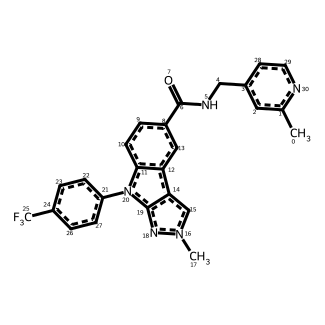 Cc1cc(CNC(=O)c2ccc3c(c2)c2cn(C)nc2n3-c2ccc(C(F)(F)F)cc2)ccn1